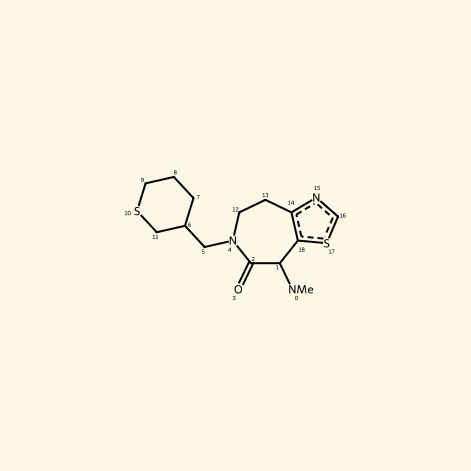 CNC1C(=O)N(CC2CCCSC2)CCc2ncsc21